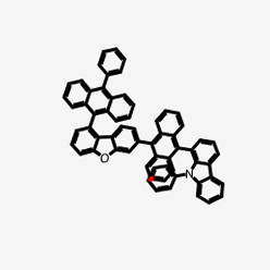 c1ccc(-c2c3ccccc3c(-c3cccc4oc5cc(-c6c7ccccc7c(-c7cccc8c9ccccc9n(-c9ccccc9)c78)c7ccccc67)ccc5c34)c3ccccc23)cc1